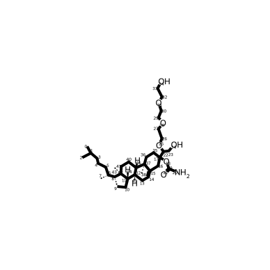 CC(C)CCC[C@@H](C)[C@H]1CC[C@H]2[C@@H]3CC=C4CC(OC(N)=O)(C(CO)OCCOCCOCCO)CC[C@]4(C)[C@H]3CC[C@]12C